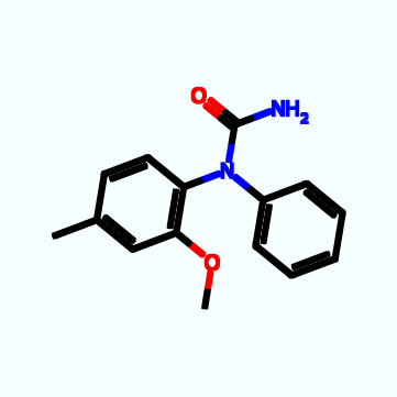 COc1cc(C)ccc1N(C(N)=O)c1ccccc1